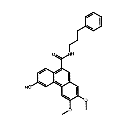 COc1cc2cc(C(=O)NCCCc3ccccc3)c3ccc(O)cc3c2cc1OC